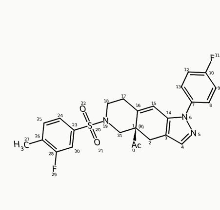 CC(=O)[C@]12Cc3cnn(-c4ccc(F)cc4)c3C=C1CCN(S(=O)(=O)c1ccc(C)c(F)c1)C2